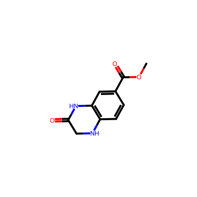 COC(=O)c1ccc2c(c1)NC(=O)CN2